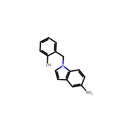 N#Cc1ccccc1Cn1ccc2cc([N+](=O)[O-])ccc21